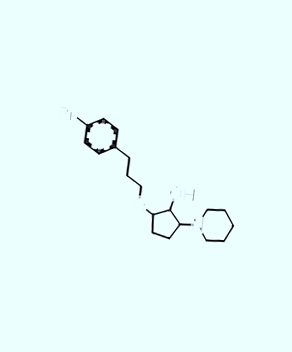 OC1C(OCCCc2ccc(Br)cc2)CCC1N1CCCCC1